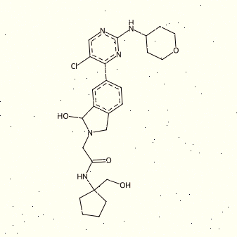 O=C(CN1Cc2ccc(-c3nc(NC4CCOCC4)ncc3Cl)cc2C1O)NC1(CO)CCCC1